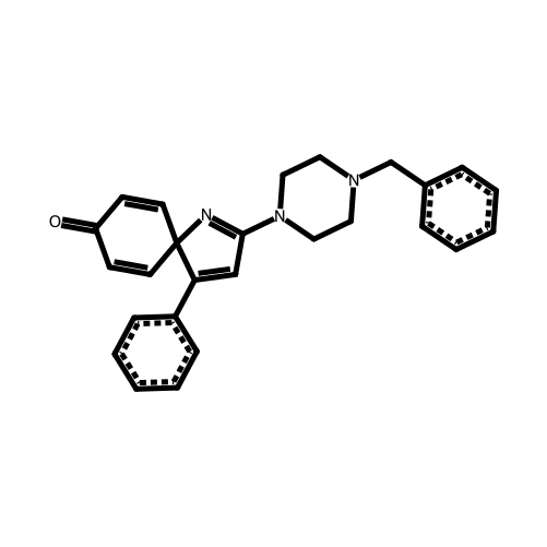 O=C1C=CC2(C=C1)N=C(N1CCN(Cc3ccccc3)CC1)C=C2c1ccccc1